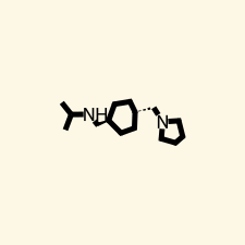 CC(C)NC[C@H]1CC[C@H](CN2CCCC2)CC1